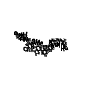 COc1nc(/C=C2/CCc3c2cccc3-c2cccc(-c3ccn4c(=O)c(CNC[C@H]5CCC(=O)N5)cnc4c3)c2Cl)c(Cl)cc1CNC[C@@H]1CCC(=O)N1